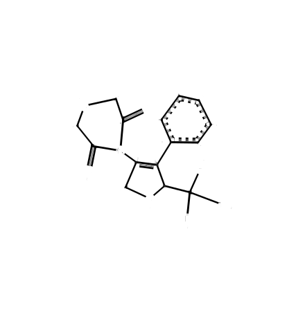 O=C1CSCC(=O)N1C1=C(c2ccccc2)C(C(F)(F)F)SC1